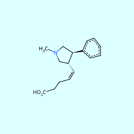 CN1C[C@@H](/C=C\CCC(=O)O)[C@H](c2ccccc2)C1